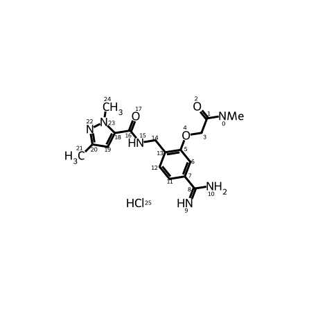 CNC(=O)COc1cc(C(=N)N)ccc1CNC(=O)c1cc(C)nn1C.Cl